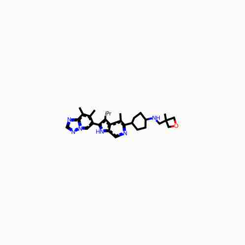 Cc1c(-c2[nH]c3cnc(C4CCC(NCC5(C)COC5)CC4)c(C)c3c2C(C)C)cn2ncnc2c1C